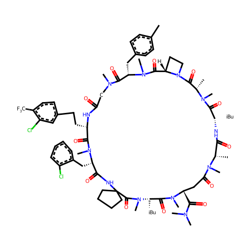 CC[C@H](C)[C@@H]1NC(=O)[C@H](C)N(C)C(=O)C[C@@H](C(=O)N(C)C)N(C)C(=O)[C@H]([C@@H](C)CC)N(C)C(=O)C2(CCCC2)NC(=O)[C@H](Cc2ccccc2Cl)N(C)C(=O)[C@H](CCc2ccc(C(F)(F)F)c(Cl)c2)NC(=O)CN(C)C(=O)[C@H](Cc2ccc(C)cc2)N(C)C(=O)[C@@H]2CCN2C(=O)[C@H](C)N(C)C1=O